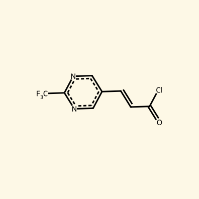 O=C(Cl)C=Cc1cnc(C(F)(F)F)nc1